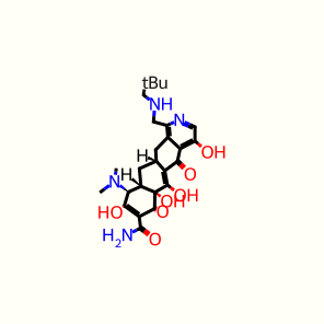 CN(C)[C@@H]1C(O)=C(C(N)=O)C(=O)[C@@]2(O)C(O)=C3C(=O)c4c(O)cnc(CNCC(C)(C)C)c4C[C@H]3C[C@@H]12